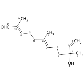 C=CC(C)(O)CC/C=C(\C)CC/C=C(\C)C=O